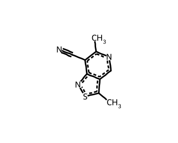 Cc1ncc2c(C)snc2c1C#N